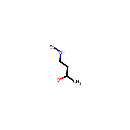 C[CH]NCCC(C)O